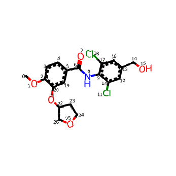 COc1ccc(C(=O)Nc2c(Cl)cc(CO)cc2Cl)cc1OC1CCOC1